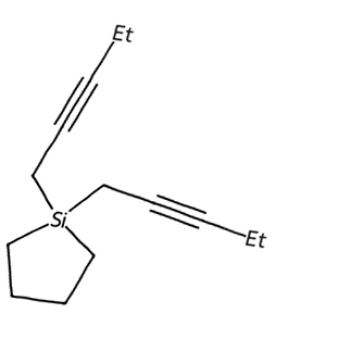 CCC#CC[Si]1(CC#CCC)CCCC1